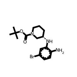 CC(C)(C)OC(=O)N1CCC[C@H](Nc2cc(Br)ccc2N)C1